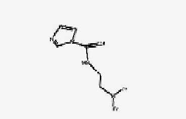 CC(C)N(CCNC(=O)n1ccnc1)C(C)C